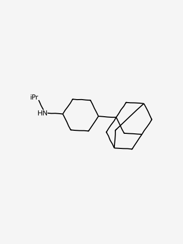 CC(C)NC1CCC(C23CC4CC(CC(C4)C2)C3)CC1